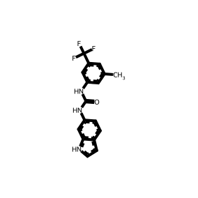 Cc1cc(NC(=O)Nc2ccc3cc[nH]c3c2)cc(C(F)(F)F)c1